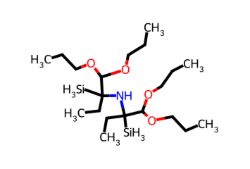 CCCOC(OCCC)C([SiH3])(CC)NC([SiH3])(CC)C(OCCC)OCCC